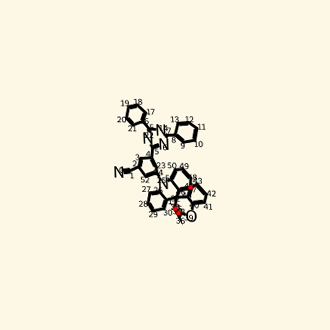 N#Cc1cc(-c2nc(-c3ccccc3)nc(-c3ccccc3)n2)cc(N2c3ccccc3C3(c4ccccc4Oc4ccccc43)c3ccccc32)c1